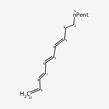 [CH2]CCCCCC/C=C/C=C/C=C/C=C